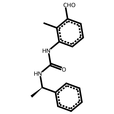 Cc1c(C=O)cccc1NC(=O)N[C@H](C)c1ccccc1